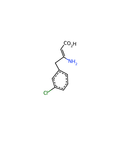 N/C(=C\C(=O)O)Cc1cccc(Cl)c1